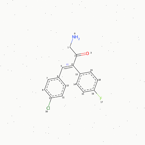 NCC(=O)/C(=C/c1ccc(Cl)cc1)c1ccc(F)cc1